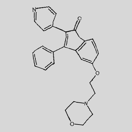 O=C1C(c2ccncc2)=C(c2ccccc2)c2cc(OCCN3CCOCC3)ccc21